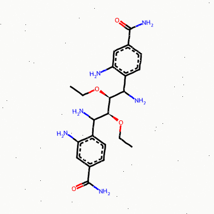 CCO[C@@H](C(N)c1ccc(C(N)=O)cc1N)[C@@H](OCC)C(N)c1ccc(C(N)=O)cc1N